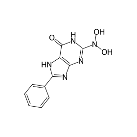 O=c1[nH]c(N(O)O)nc2nc(-c3ccccc3)[nH]c12